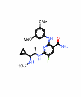 COc1cc(Nc2nc(N[C@H](C)[C@@H](NC(=O)O)C3CC3)c(F)cc2C(N)=O)cc(OC)c1